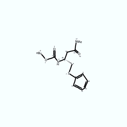 CCCCOC(=O)N[C@@H](CSc1ccccc1)CC(=O)NC